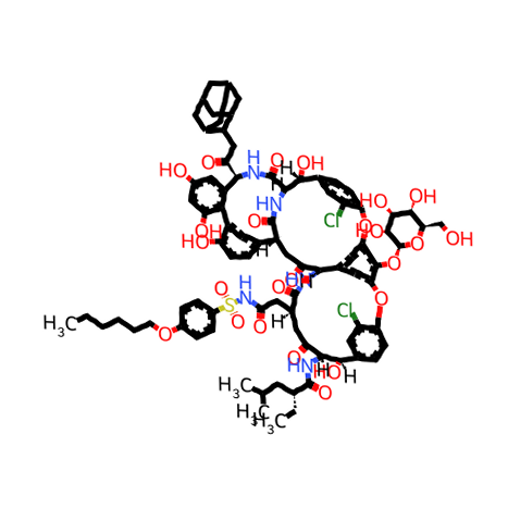 CCCCCCOc1ccc(S(=O)(=O)NC(=O)C[C@@H]2CC(=O)[C@H](NC(=O)[C@H](CC)CC(C)C)[C@H](O)c3ccc(c(Cl)c3)Oc3cc4cc(c3O[C@@H]3O[C@H](CO)[C@@H](O)[C@H](O)[C@H]3O)Oc3ccc(cc3Cl)[C@@H](O)[C@@H]3NC(=O)[C@H](CC(=O)[C@@H]4NC2=O)c2ccc(O)c(c2)-c2c(O)cc(O)cc2[C@@H](C(=O)CC2C4CC5CC(C4)CC2C5)NC3=O)cc1